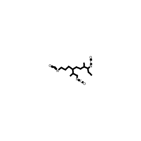 CCC(N=C=O)C(C)CCC(CCCN=C=O)C(C)CN=C=O